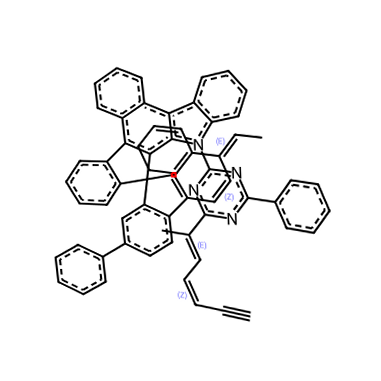 C#C/C=C\C=C(/C)c1nc(-c2ccccc2)nc(-n2c3ccccc3c3c4ccccc4c4c(c32)C2(C=C(/C=C\C(=C/C)C3=CCCC=C3)c3ccc(-c5ccccc5)cc32)c2ccccc2-4)n1